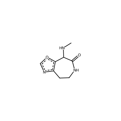 CNC1C(=O)NCCc2ncoc21